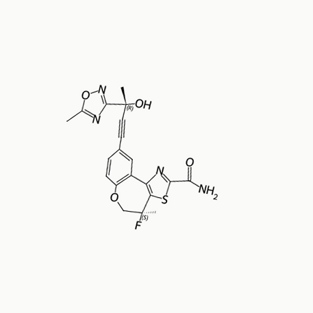 Cc1nc([C@](C)(O)C#Cc2ccc3c(c2)-c2nc(C(N)=O)sc2[C@@](C)(F)CO3)no1